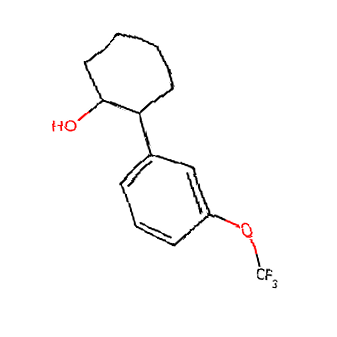 OC1CCCCC1c1cccc(OC(F)(F)F)c1